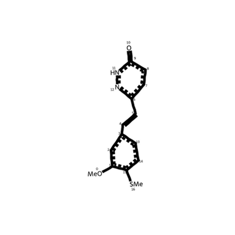 COc1cc(C=Cc2ccc(=O)[nH]n2)ccc1SC